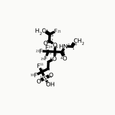 C=CNC(=O)C(OCCC(F)(F)S(=O)(=O)O)(OC(=O)C(=C)F)C(F)(F)F